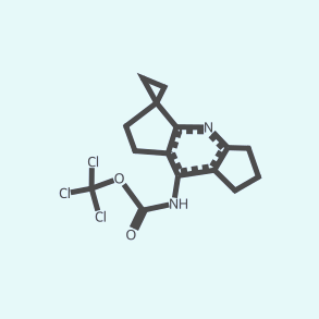 O=C(Nc1c2c(nc3c1CCC31CC1)CCC2)OC(Cl)(Cl)Cl